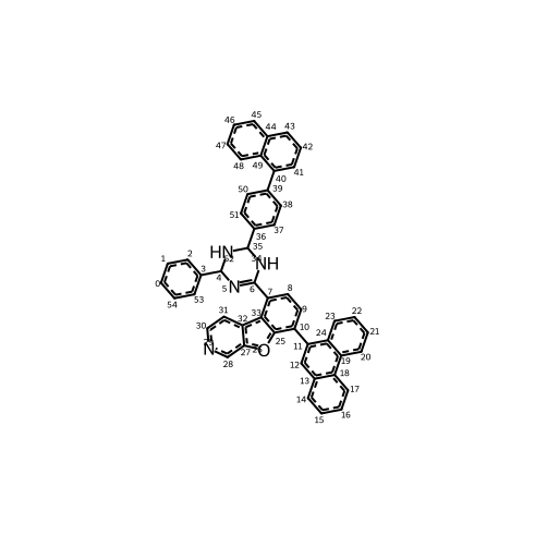 c1ccc(C2N=C(c3ccc(-c4cc5ccccc5c5ccccc45)c4oc5cnccc5c34)NC(c3ccc(-c4cccc5ccccc45)cc3)N2)cc1